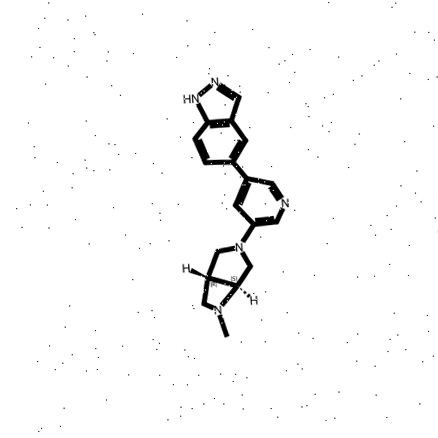 CN1C[C@@H]2CN(c3cncc(-c4ccc5[nH]ncc5c4)c3)C[C@H]21